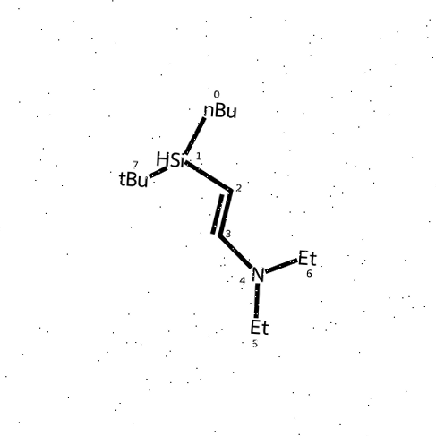 CCCC[SiH](C=CN(CC)CC)C(C)(C)C